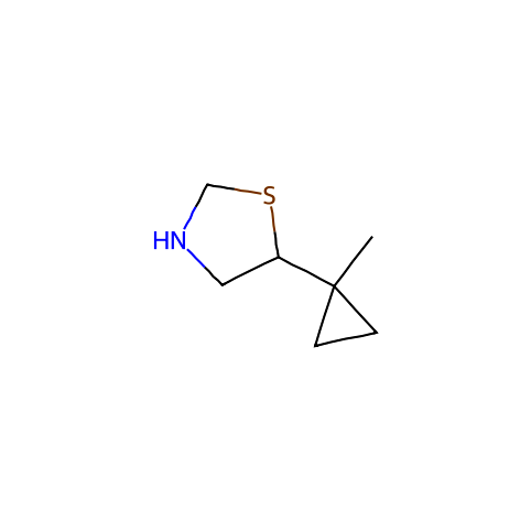 CC1(C2CNCS2)CC1